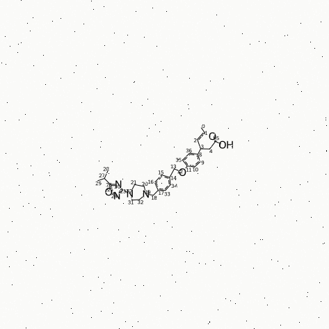 CC=CC(CC(=O)O)c1ccc(OCc2ccc(CN3CCN(c4noc(C(C)C)n4)CC3)cc2)cc1